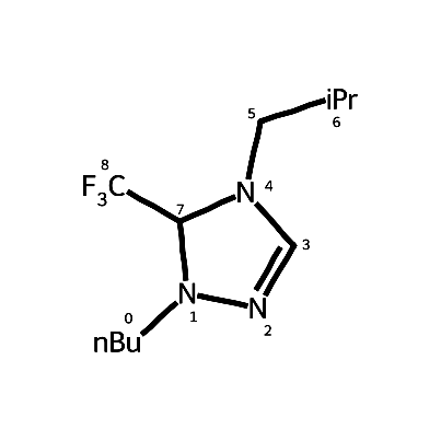 CCCCN1N=CN(CC(C)C)C1C(F)(F)F